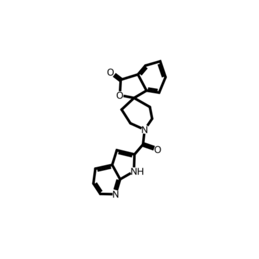 O=C1OC2(CCN(C(=O)c3cc4cccnc4[nH]3)CC2)c2ccccc21